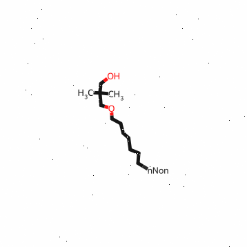 CCCCCCCCCCCCCCCCOCC(C)(C)CO